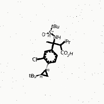 CC(C)C(C(=O)O)C(C)(N[S@@+]([O-])C(C)(C)C)c1ccc([C@@H]2C[C@H]2C(C)(C)C)c(Cl)c1